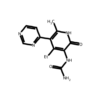 CCc1c(-c2ccncn2)c(C)[nH]c(=O)c1NC(N)=O